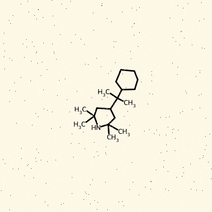 CC1(C)CC(C(C)(C)C2CCCCC2)CC(C)(C)N1